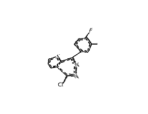 Cc1cc(-c2nnc(Cl)c3ccsc23)ccc1F